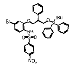 CC(C)(C)[Si](OCC(COc1cc(Br)ccc1NS(=O)(=O)c1ccc([N+](=O)[O-])cc1)c1ccccc1)(c1ccccc1)c1ccccc1